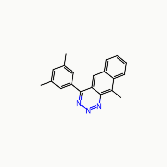 Cc1cc(C)cc(-c2nnnc3c(C)c4ccccc4cc23)c1